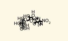 Cn1nc([N+](=O)[O-])c2nnn(C3OC(COP(=O)(O)OP(=O)(O)OP(=O)(O)O)C(O)C3O)c(=O)c21